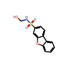 O=S(=O)(NCO)c1ccc2c(c1)oc1ccccc12